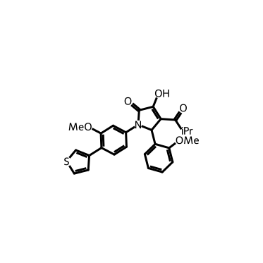 COc1cc(N2C(=O)C(O)=C(C(=O)C(C)C)C2c2ccccc2OC)ccc1-c1ccsc1